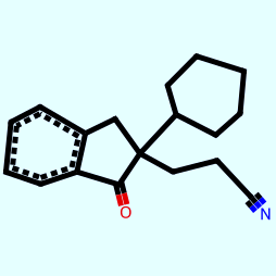 N#CCCC1(C2CCCCC2)Cc2ccccc2C1=O